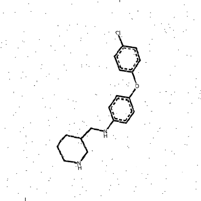 Clc1ccc(Oc2ccc(NCC3CCCNC3)cc2)cc1